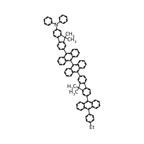 CCc1ccc(-c2c3ccccc3c(-c3ccc4c(c3)C(C)(C)c3cc(-c5c6ccccc6c(-c6c7ccccc7c(-c7ccc8c(c7)C(C)(C)c7cc(N(c9ccccc9)c9ccccc9)ccc7-8)c7ccccc67)c6ccccc56)ccc3-4)c3ccccc23)cc1